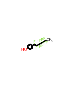 Oc1ccc(C(F)=C(F)C(F)(F)C(F)(F)C(F)(F)C(F)(F)C(F)(F)F)cc1